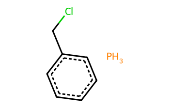 ClCc1ccccc1.P